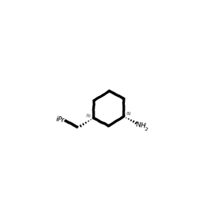 CC(C)C[C@@H]1CCC[C@H](N)C1